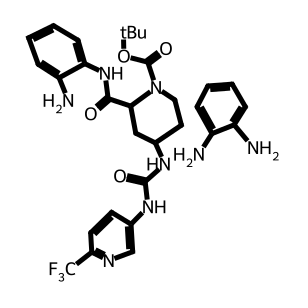 CC(C)(C)OC(=O)N1CCC(NC(=O)Nc2ccc(C(F)(F)F)nc2)CC1C(=O)Nc1ccccc1N.Nc1ccccc1N